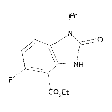 CCOC(=O)c1c(F)ccc2c1[nH]c(=O)n2C(C)C